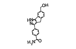 NC(=O)c1ccc(-c2n[nH]c3c2Cc2ccc(CO)cc2-3)cc1